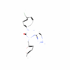 Cc1ccc(CN(C(=O)Nc2ccc(Cl)cc2)c2ccn(C)n2)o1